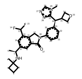 C[C@H](NC1(C)CCC1)c1cc2c(c(C(F)F)c1)CN(c1cccc([C@@H](c3nncn3C)C3COC3)c1)C2=O